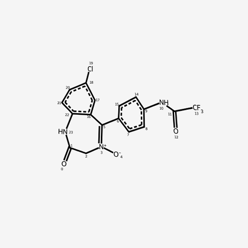 O=C1C[N+]([O-])=C(c2ccc(NC(=O)C(F)(F)F)cc2)c2cc(Cl)ccc2N1